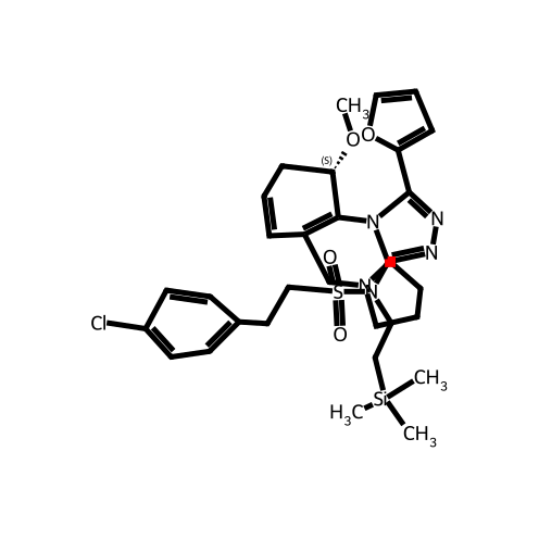 CO[C@H]1CC=CC(CN2CCCC2)=C1n1c(-c2ccco2)nnc1N(CC[Si](C)(C)C)S(=O)(=O)CCc1ccc(Cl)cc1